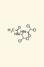 CC(=O)NC(NC(=O)C(Cl)Cl)C(Cl)Cl